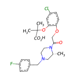 C[C@@H]1CN(Cc2ccc(F)cc2)CCN1C(=O)COc1ccc(Cl)cc1OC(C)(C)C(=O)O